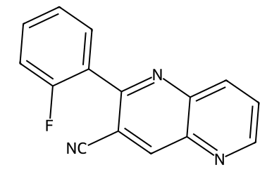 N#Cc1cc2ncccc2nc1-c1ccccc1F